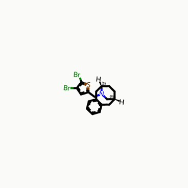 Brc1cc(CN2C[C@@H]3CC[C@H]2Cc2ccccc2C3)sc1Br